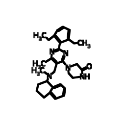 CCc1cccc(CC)c1-c1nc(C)c(CN(C)C2CCCc3ccccc32)c(N2CCNC(=O)C2)n1